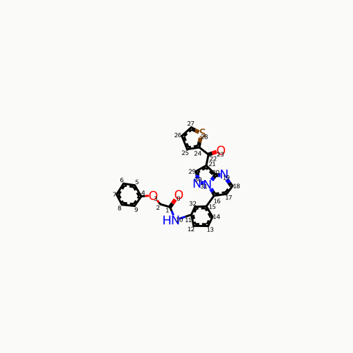 O=C(COc1ccccc1)Nc1cccc(-c2ccnc3c(C(=O)c4cccs4)cnn23)c1